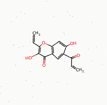 C=CC(=O)c1cc2c(=O)c(O)c(C=C)oc2cc1O